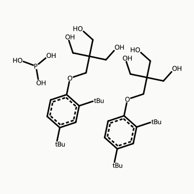 CC(C)(C)c1ccc(OCC(CO)(CO)CO)c(C(C)(C)C)c1.CC(C)(C)c1ccc(OCC(CO)(CO)CO)c(C(C)(C)C)c1.OP(O)O